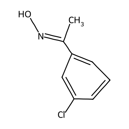 CC(=NO)c1cccc(Cl)c1